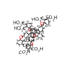 O=C(O)c1cccc(Oc2ccc(C3(c4ccc(Oc5cccc(C(=O)O)c5C(=O)O)cc4)C=CC=CC3OC3C=CC=CC3(c3ccc(Oc4cccc(C(=O)O)c4C(=O)O)cc3)c3ccc(Oc4cccc(C(=O)O)c4C(=O)O)cc3)cc2)c1C(=O)O